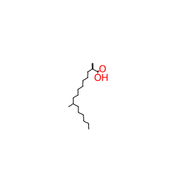 C=C(CCCCCCCC(C)CCCCCC)C(=O)O